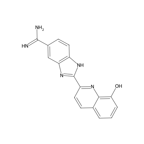 N=C(N)c1ccc2[nH]c(-c3ccc4cccc(O)c4n3)nc2c1